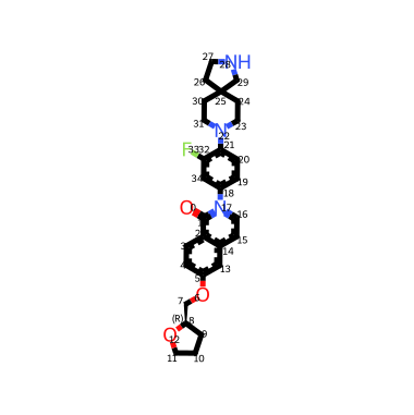 O=c1c2ccc(OC[C@H]3CCCO3)cc2ccn1-c1ccc(N2CCC3(CCNC3)CC2)c(F)c1